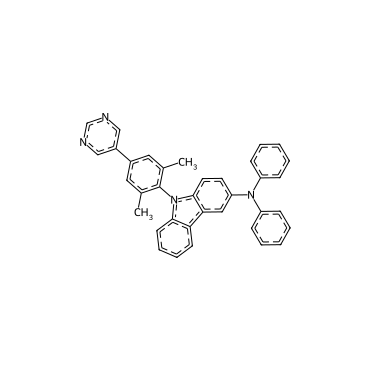 Cc1cc(-c2cncnc2)cc(C)c1-n1c2ccccc2c2cc(N(c3ccccc3)c3ccccc3)ccc21